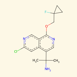 CC(C)(N)c1cnc(OCC2(F)CC2)c2cnc(Cl)cc12